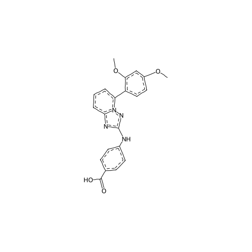 COc1ccc(-c2cccc3nc(Nc4ccc(C(=O)O)cc4)nn23)c(OC)c1